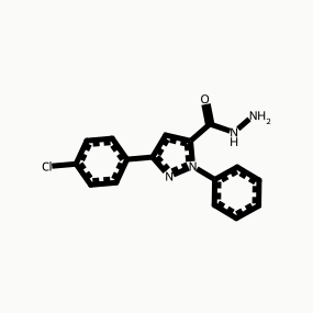 NNC(=O)c1cc(-c2ccc(Cl)cc2)nn1-c1ccccc1